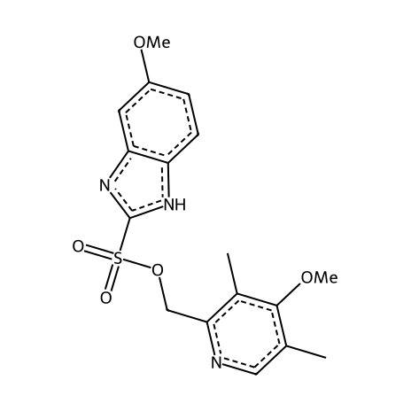 COc1ccc2[nH]c(S(=O)(=O)OCc3ncc(C)c(OC)c3C)nc2c1